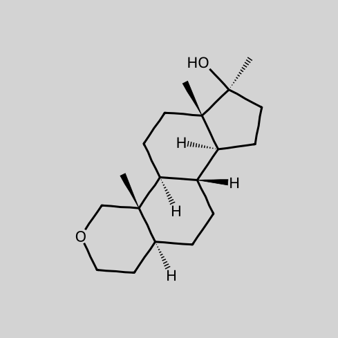 C[C@]12COCC[C@@H]1CC[C@@H]1[C@@H]2CC[C@@]2(C)[C@H]1CC[C@]2(C)O